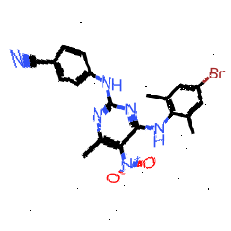 Cc1cc(Br)cc(C)c1Nc1nc(Nc2ccc(C#N)cc2)nc(C)c1[N+](=O)[O-]